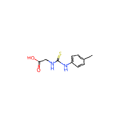 Cc1ccc(NC(=S)NCC(=O)O)cc1